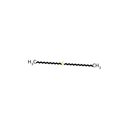 CCCCCCCCCCCCCCCCCCCCSCCCCCCCCCCCCCCCCCC